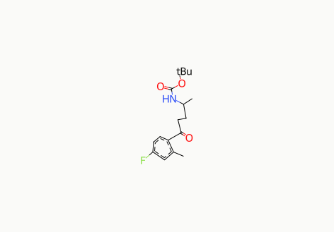 Cc1cc(F)ccc1C(=O)CCC(C)NC(=O)OC(C)(C)C